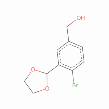 OCc1ccc(Br)c(C2OCCO2)c1